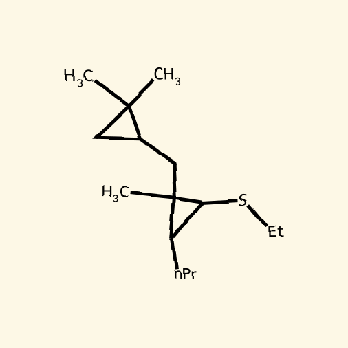 CCCC1C(SCC)C1(C)CC1CC1(C)C